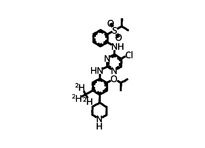 [2H]C([2H])([2H])c1cc(Nc2ncc(Cl)c(Nc3ccccc3S(=O)(=O)C(C)C)n2)c(OC(C)C)cc1C1CCNCC1